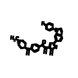 CN1CCC(Nc2ccc(C(=O)Nc3cc(-c4ccc5ccn(-c6ccc(F)cc6)c5c4)n[nH]3)cc2)CC1